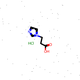 Cl.O=C(O)CCn1ccnc1